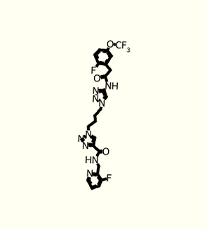 O=C(Cc1cc(OC(F)(F)F)ccc1F)Nc1cn(CCCCn2cc(C(=O)NCc3ncccc3F)nn2)nn1